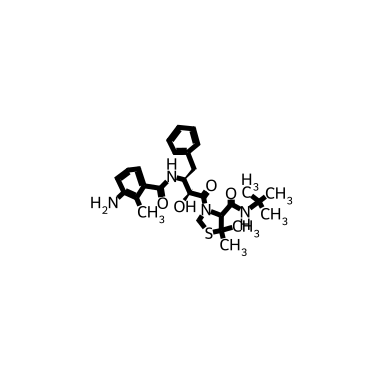 Cc1c(N)cccc1C(=O)N[C@@H](Cc1ccccc1)[C@H](O)C(=O)N1CSC(C)(C)C1C(=O)NC(C)(C)C